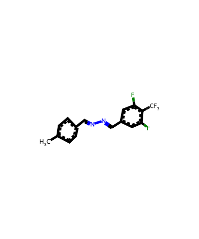 Cc1ccc(C=NN=Cc2cc(F)c(C(F)(F)F)c(F)c2)cc1